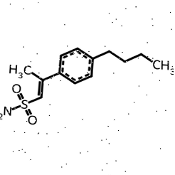 CCCCc1ccc(C(C)=CS(N)(=O)=O)cc1